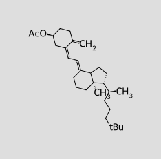 C=C1CC[C@H](OC(C)=O)C/C1=C/C=C1\CCC[C@@]2(C)C1CC[C@@H]2[C@@H](C)CCCC(C)(C)C